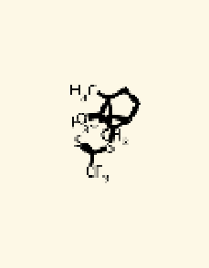 CC12CCC(C(SC(=S)C(F)(F)F)C1=O)C2(C)C